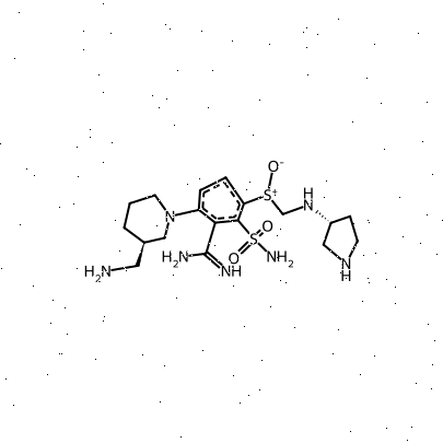 N=C(N)c1c(N2CCC[C@H](CN)C2)ccc([S+]([O-])CN[C@@H]2CCNC2)c1S(N)(=O)=O